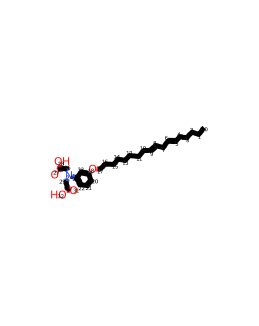 CCCCCC=CCC=CCCCCCCCCOc1cccc(N(CC(=O)O)CC(=O)O)c1